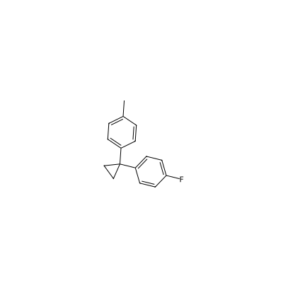 Cc1ccc(C2(c3ccc(F)cc3)CC2)cc1